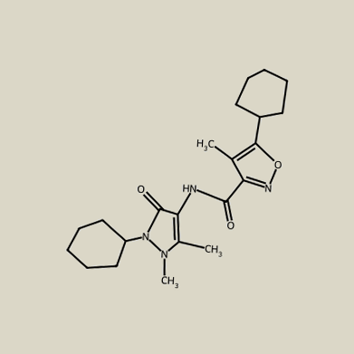 Cc1c(C(=O)Nc2c(C)n(C)n(C3CCCCC3)c2=O)noc1C1CCCCC1